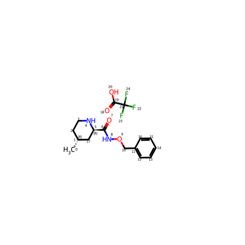 C[C@@H]1CCN[C@@H](C(=O)NOCc2ccccc2)C1.O=C(O)C(F)(F)F